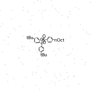 CCCCCCCCc1ccc(S(=O)(=O)O[I+](c2ccc(C(C)(C)C)cc2)c2ccc(C(C)(C)C)cc2)cc1